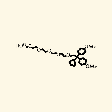 COc1ccc(C(CCOCCOCCOCCOCCOCOO)(c2ccccc2)c2ccc(OC)cc2)cc1